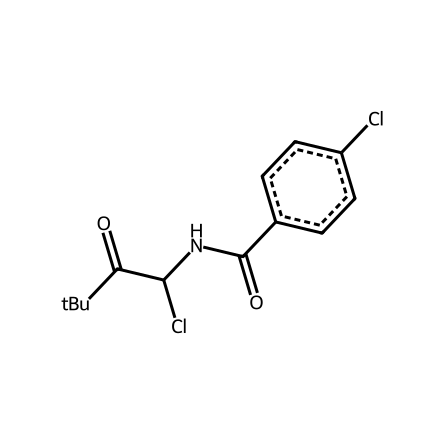 CC(C)(C)C(=O)C(Cl)NC(=O)c1ccc(Cl)cc1